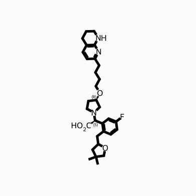 CC1(C)COC(Cc2ccc(F)cc2[C@@H](C(=O)O)N2CC[C@@H](OCCCCc3ccc4c(n3)NCCC4)C2)C1